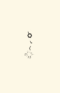 C=Cc1ccc(OCC(=O)OCCC[Si]2(C)O[Si](C)(C)O[Si](C)(C)O[Si](C)(C)O2)cc1